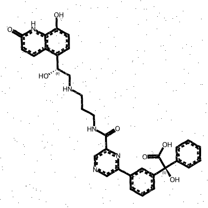 O=C(NCCCNC[C@H](O)c1ccc(O)c2[nH]c(=O)ccc12)c1cncc(-c2cccc([C@](O)(C(=O)O)c3ccccc3)c2)n1